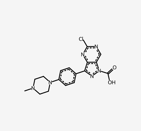 CN1CCN(c2ccc(-c3nn(C(=O)O)c4cnc(Cl)nc34)cc2)CC1